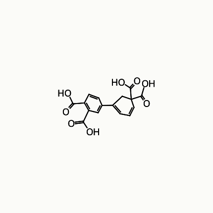 O=C(O)c1ccc(C2=CC=CC(C(=O)O)(C(=O)O)C2)cc1C(=O)O